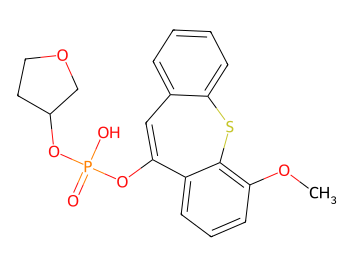 COc1cccc2c1Sc1ccccc1C=C2OP(=O)(O)OC1CCOC1